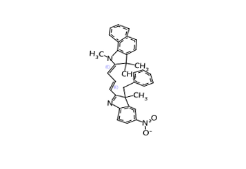 CN1/C(=C/C=C/C2=Nc3ccc([N+](=O)[O-])cc3C2(C)Cc2ccccc2)C(C)(C)c2ccc3ccccc3c21